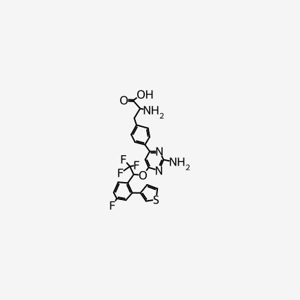 Nc1nc(OC(c2ccc(F)cc2-c2ccsc2)C(F)(F)F)cc(-c2ccc(CC(N)C(=O)O)cc2)n1